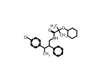 CC(c1ccc(Cl)cc1)C(CNC(=O)C(C)(C)OC1CCCCC1)c1ccccc1